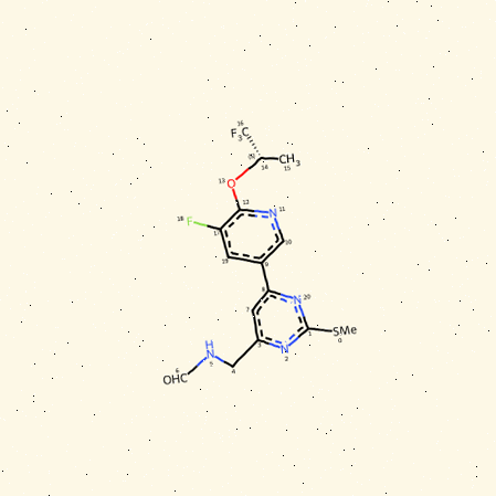 CSc1nc(CNC=O)cc(-c2cnc(O[C@@H](C)C(F)(F)F)c(F)c2)n1